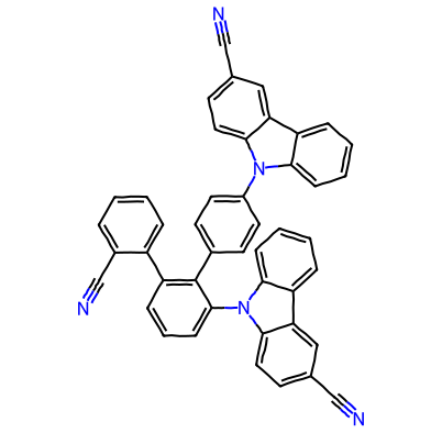 N#Cc1ccc2c(c1)c1ccccc1n2-c1ccc(-c2c(-c3ccccc3C#N)cccc2-n2c3ccccc3c3cc(C#N)ccc32)cc1